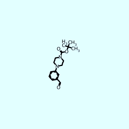 CC(C)(C)OC(=O)N1CCN(c2cccc(C=O)c2)CC1